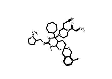 C=CC(=O)N1CCN(C2(C3CCCCCC3)NC(OCC3CCCN3C)NC3C[C@@]4(CCC32)Cc2cccc(F)c2CS4)CC1CC#N